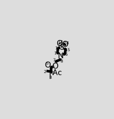 CC(=O)C(C)(I)C(=O)OCCN1CCS(=O)(=O)CC1